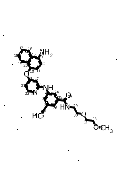 C#Cc1cc(Nc2cc(Oc3ccc(N)c4ccccc34)ccn2)cc(C(=O)NCCOCCOC)c1